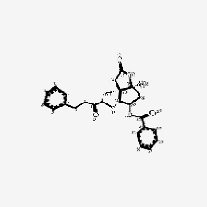 O=C(CCc1ccccc1)CC[C@@H]1[C@H]2CC(=O)O[C@H]2C[C@H]1OC(=O)c1ccccc1